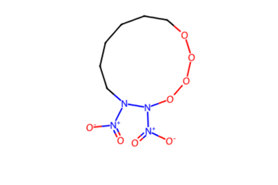 O=[N+]([O-])N1CCCCCCOOOON1[N+](=O)[O-]